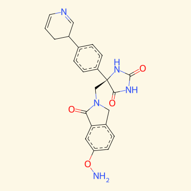 NOc1ccc2c(c1)C(=O)N(C[C@@]1(c3ccc(C4C=NC=CC4)cc3)NC(=O)NC1=O)C2